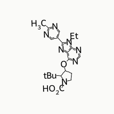 CCn1c(-c2cnc(C)nc2)nc2c(OC3CCN(C(=O)O)C3C(C)(C)C)ncnc21